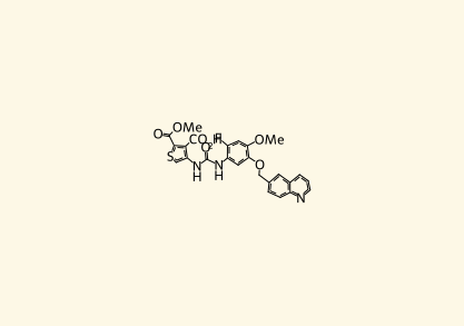 COC(=O)c1scc(NC(=O)Nc2cc(OCc3ccc4ncccc4c3)c(OC)cc2F)c1C(=O)O